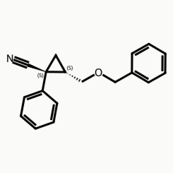 N#C[C@@]1(c2ccccc2)C[C@@H]1COCc1ccccc1